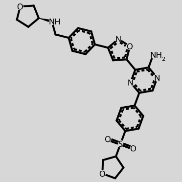 Nc1ncc(-c2ccc(S(=O)(=O)C3CCOC3)cc2)nc1-c1cc(-c2ccc(CN[C@H]3CCOC3)cc2)no1